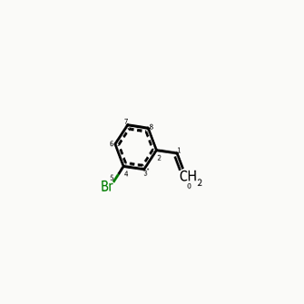 C=Cc1[c]c(Br)ccc1